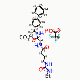 CCNC(=O)NCCCC(=O)NCC(=O)NC(CC(=O)O)c1ccc(-c2ccccc2)cc1.O=C(O)C(F)(F)F